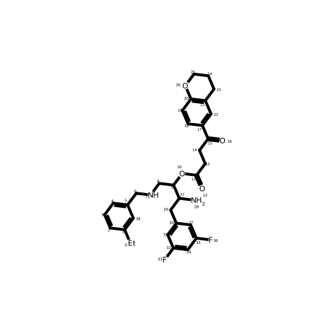 CCc1cccc(CNCC(OC(=O)CCC(=O)c2ccc3c(c2)CCCO3)C(N)Cc2cc(F)cc(F)c2)c1